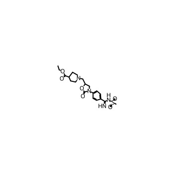 CCOC(=O)C1CCN(CC2CN(c3ccc(C(=N)NS(C)(=O)=O)cc3)C(=O)O2)CC1